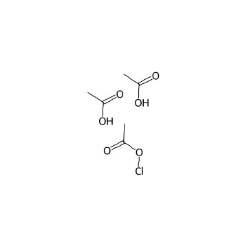 CC(=O)O.CC(=O)O.CC(=O)OCl